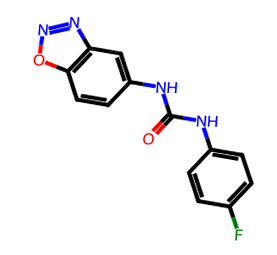 O=C(Nc1ccc(F)cc1)Nc1ccc2onnc2c1